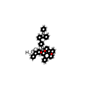 CC1(C)c2ccccc2-c2ccc(N(c3ccc(-c4cccc5c4c4ccccc4n5-c4ccccc4)cc3)c3ccc4c(c3)C3(c5ccccc5-c5ccccc5-c5ccccc53)c3ccccc3-4)cc21